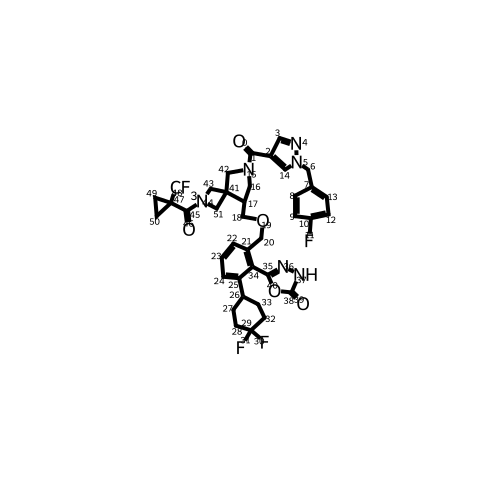 O=C(c1cnn(Cc2ccc(F)cc2)c1)N1CC(COCc2cccc(C3CCC(F)(F)CC3)c2-c2n[nH]c(=O)o2)C2(C1)CN(C(=O)C1(C(F)(F)F)CC1)C2